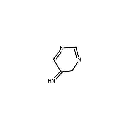 N=C1C=NC=NC1